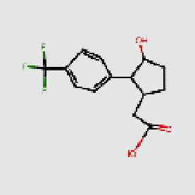 O=C(O)CC1CCC(O)C1c1ccc(C(F)(F)F)cc1